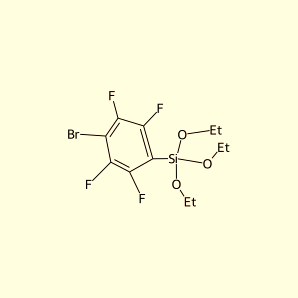 CCO[Si](OCC)(OCC)c1c(F)c(F)c(Br)c(F)c1F